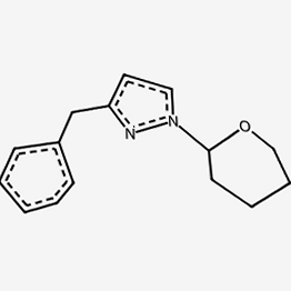 c1ccc(Cc2ccn(C3CCCCO3)n2)cc1